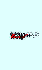 CCOC(=O)/C=C/CNC(O)c1cccc(S(=O)(=O)c2ccc(N3CC(F)(CN4CCC(C(CN5CCC5)(c5cccc(F)c5)[C@H]5CCC[C@@H]5NC(=O)OC)CC4)C3)cc2)c1